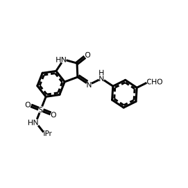 CC(C)NS(=O)(=O)c1ccc2c(c1)/C(=N/Nc1cccc(C=O)c1)C(=O)N2